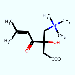 CC(C)=CC(=O)C(O)(CC(=O)[O-])C[N+](C)(C)C